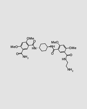 COc1cc(OC)c(C(=O)N[C@H]2CC[C@H](NC(=O)c3cc(C(=O)NCCN)c(OC)cc3OC)CC2)cc1C(N)=O